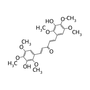 COc1cc(/C=C/C(=O)/C=C/c2cc(OC)c(OC)c(O)c2OC)c(OC)c(O)c1OC